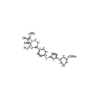 COc1cncc(-c2cn(Cc3ccc(N4CCCC(C)(NC(=O)OC(C)(C)C)C4)nn3)nn2)c1